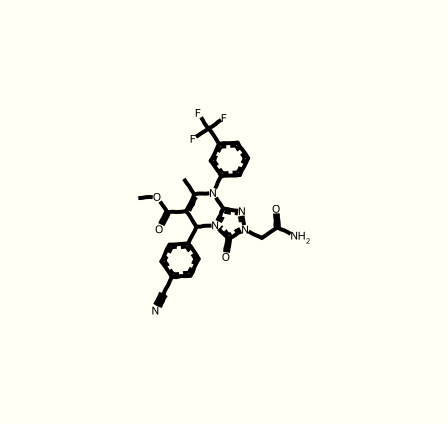 COC(=O)C1=C(C)N(c2cccc(C(F)(F)F)c2)c2nn(CC(N)=O)c(=O)n2C1c1ccc(C#N)cc1